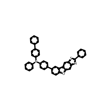 c1ccc(-c2ccc(N(c3ccccc3)c3ccc(-c4ccc5oc6cc7nc(-c8ccccc8)sc7cc6c5c4)cc3)cc2)cc1